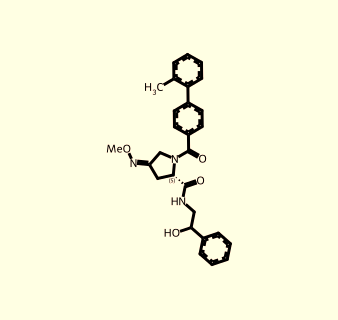 CON=C1C[C@@H](C(=O)NCC(O)c2ccccc2)N(C(=O)c2ccc(-c3ccccc3C)cc2)C1